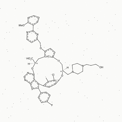 COc1ccccc1-c1nccc(COc2ccc3cc2C[C@H](C(=O)O)Oc2ncnc4sc(-c5ccc(F)cc5)c(c24)-c2ccc(c(Cl)c2C)O[C@H](CN2CCN(CCCO)CC2)CO3)n1